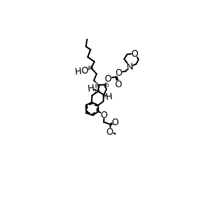 CCCCC[C@@H](O)CC[C@@H]1[C@H]2Cc3cccc(OCC(=O)OC)c3C[C@H]2C[C@H]1OC(=O)OCN1CCOCC1